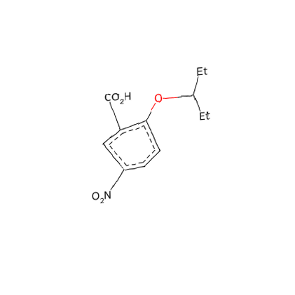 CCC(CC)Oc1ccc([N+](=O)[O-])cc1C(=O)O